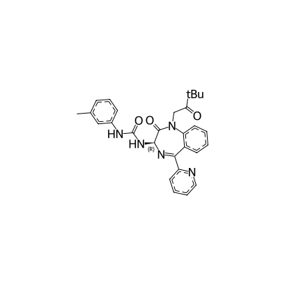 Cc1cccc(NC(=O)N[C@@H]2N=C(c3ccccn3)c3ccccc3N(CC(=O)C(C)(C)C)C2=O)c1